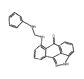 O=C1c2c(NCNc3ccccc3)cccc2-c2n[nH]c3cccc1c23